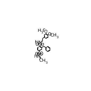 CCNS(=O)(=O)c1ccc(S(=O)(=O)NCCc2ccc(OC)c(OC)c2)c(Cc2ccccc2)c1